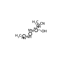 Cc1ccc(Nc2ccc3c(c2)ncn3-c2ccc(CCO)c(-n3cc(C)c(C#N)n3)n2)nn1